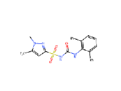 CC(C)c1cccc(C(C)C)c1NC(=O)NS(=O)(=O)c1cc(C(F)(F)F)n(C)n1